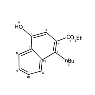 CCCCc1c(C(=O)OCC)cc(O)c2ccccc12